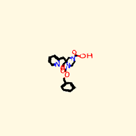 O=CC1(Cc2ccccn2)CN(C(=O)O)CCN1C(=O)OCc1ccccc1